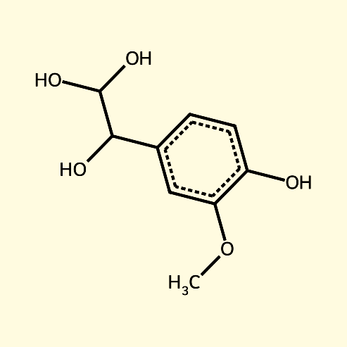 COc1cc(C(O)C(O)O)ccc1O